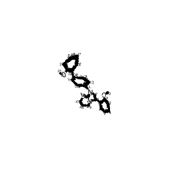 COc1ccccc1C1=CN(c2ccc(-c3ccccc3OC)cc2)C2=NCCCN12